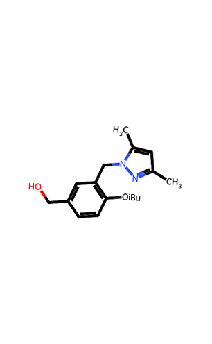 Cc1cc(C)n(Cc2cc(CO)ccc2OCC(C)C)n1